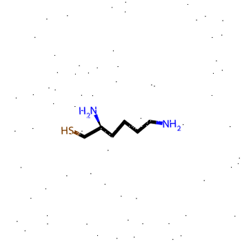 NCCCC[C@H](N)CS